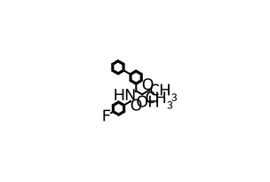 CC1(C)Oc2ccc(-c3ccccc3)cc2C(NC(=O)c2ccc(F)cc2)C1O